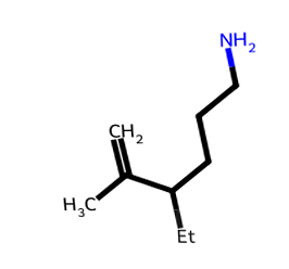 C=C(C)C(CC)CCCN